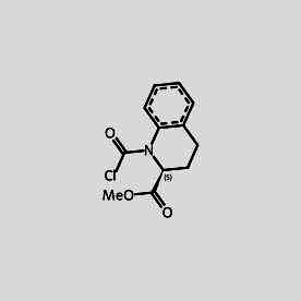 COC(=O)[C@@H]1CCc2ccccc2N1C(=O)Cl